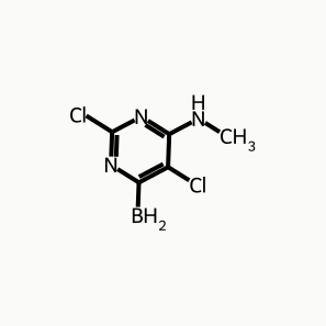 Bc1nc(Cl)nc(NC)c1Cl